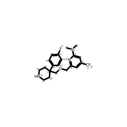 CN(C)c1cc(C(F)(F)F)cc(COCC2(c3ccc(F)cc3)CCNCC2)n1